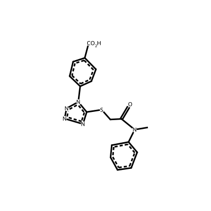 CN(C(=O)CSc1nnnn1-c1ccc(C(=O)O)cc1)c1ccccc1